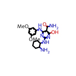 COc1cc(Nc2nc(NC3CCCCC3N)nc(O)c2C(N)=O)cc(OC)c1